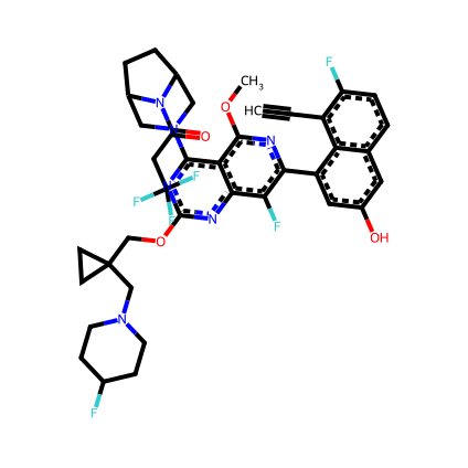 C#Cc1c(F)ccc2cc(O)cc(-c3nc(OC)c4c(N5CC6CCC(C5)N6C(=O)CC(F)(F)F)nc(OCC5(CN6CCC(F)CC6)CC5)nc4c3F)c12